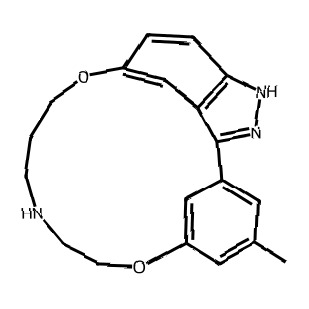 Cc1cc2cc(c1)-c1n[nH]c3ccc(cc13)OCCCNCCO2